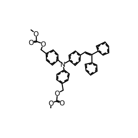 COC(=O)OCc1ccc(N(c2ccc(C=C(c3ccccc3)c3ccccc3)cc2)c2ccc(COC(=O)OC)cc2)cc1